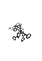 CC1(C)c2ccccc2-c2c(-c3nc(-c4ccc(-c5ccccc5)cc4)c4cc(-c5ccccc5)c(-c5ccccc5)cc4n3)cccc21